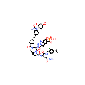 CC(C)c1ccc(CNC(=O)[C@H](CCC(N)=O)NC(=O)[C@@H]2CC[C@@H]3CCN(C(=O)[C@H]4CC[C@@H](CCc5ccc6c(c5)n(C)c(=O)n6C5CCC(=O)CC5=O)CC4)C[C@H](NC(=O)c4cc5cc(C(=O)P(=O)(O)O)ccc5[nH]4)C(=O)N32)c(Cl)c1